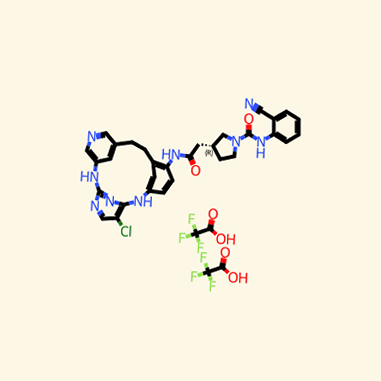 N#Cc1ccccc1NC(=O)N1CC[C@H](CC(=O)Nc2ccc3cc2CCc2cncc(c2)Nc2ncc(Cl)c(n2)N3)C1.O=C(O)C(F)(F)F.O=C(O)C(F)(F)F